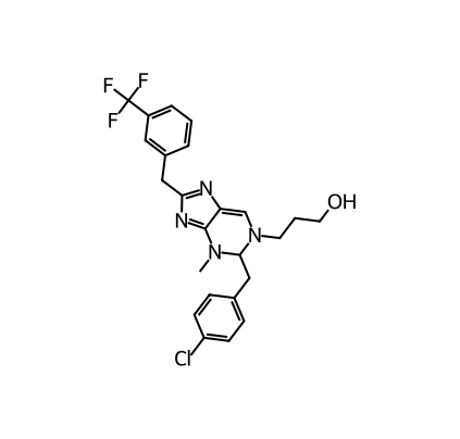 CN1C2=NC(Cc3cccc(C(F)(F)F)c3)=NC2=CN(CCCO)C1Cc1ccc(Cl)cc1